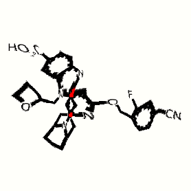 N#Cc1ccc(COc2cccc(N3C4CCC3CN(Cc3nc5ccc(C(=O)O)cc5n3CC3CCO3)C4)n2)c(F)c1